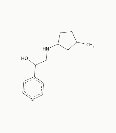 CC1CCC(NCC(O)c2ccncc2)C1